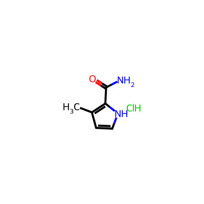 Cc1cc[nH]c1C(N)=O.Cl